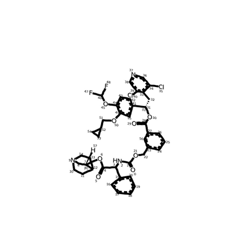 O=C(NC(C(=O)O[C@H]1CN2CCC1CC2)c1ccccc1)OCc1cccc(C(=O)O[C@@H](Cc2c(Cl)cncc2Cl)c2ccc(OC(F)F)c(OCC3CC3)c2)c1